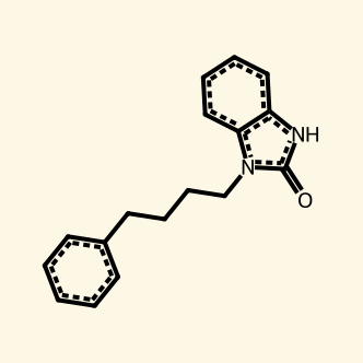 O=c1[nH]c2ccccc2n1CCCCc1ccccc1